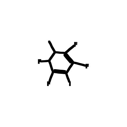 CC1C(F)=C(F)C(I)=C(F)C1F